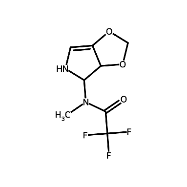 CN(C(=O)C(F)(F)F)C1NC=C2OCOC21